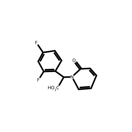 O=C(O)C(c1ccc(F)cc1F)n1ccccc1=O